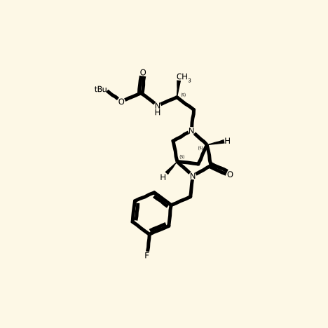 C[C@@H](CN1C[C@@H]2C[C@H]1C(=O)N2Cc1cccc(F)c1)NC(=O)OC(C)(C)C